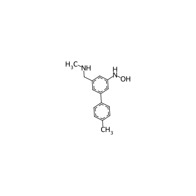 CNCc1cc(NO)cc(-c2ccc(C)cc2)c1